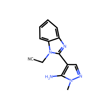 Cn1ncc(-c2nc3ccccc3n2CC#N)c1N